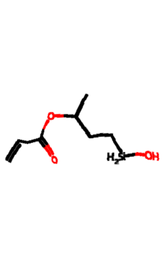 C=CC(=O)OC(C)CC[SiH2]O